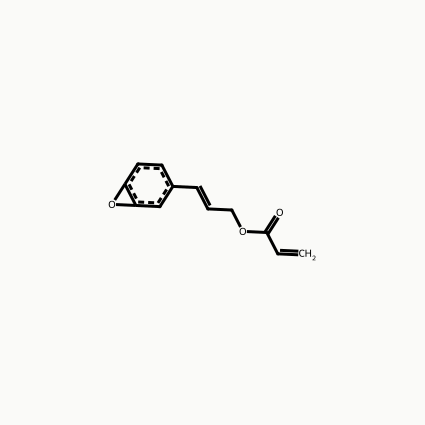 C=CC(=O)OCC=Cc1ccc2c(c1)O2